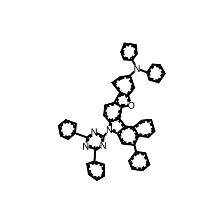 c1ccc(-c2nc(-c3ccccc3)nc(-n3c4cc(-c5ccccc5)c5ccccc5c4c4c5oc6cc(N(c7ccccc7)c7ccccc7)ccc6c5ccc43)n2)cc1